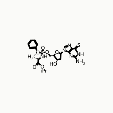 CC(C)OC(=O)[C@@H](C)NP(=O)(OC[C@H]1OC(n2cnc3c(=S)[nH]c(N)nc32)C[C@@H]1O)Oc1ccccc1